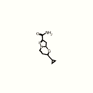 NC(=O)C1=NN2CCC(C3C=C3)OC2C1